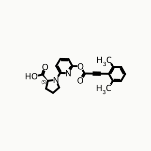 Cc1cccc(C)c1C#CC(=O)Oc1cccc(N2CCC[C@H]2C(=O)O)n1